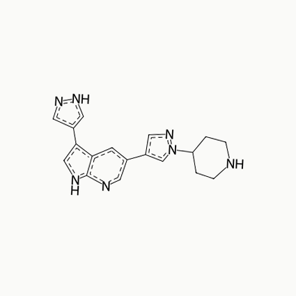 c1nc2[nH]cc(-c3cn[nH]c3)c2cc1-c1cnn(C2CCNCC2)c1